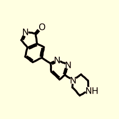 O=C1N=Cc2ccc(-c3ccc(N4CCNCC4)nn3)cc21